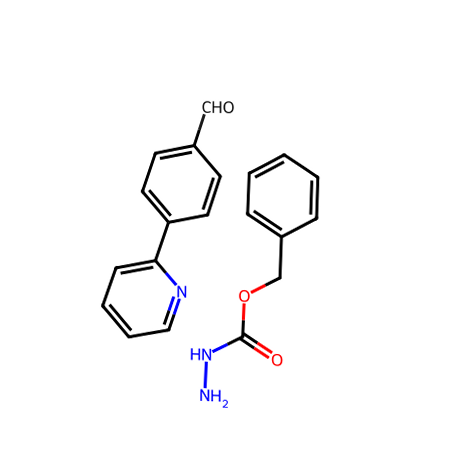 NNC(=O)OCc1ccccc1.O=Cc1ccc(-c2ccccn2)cc1